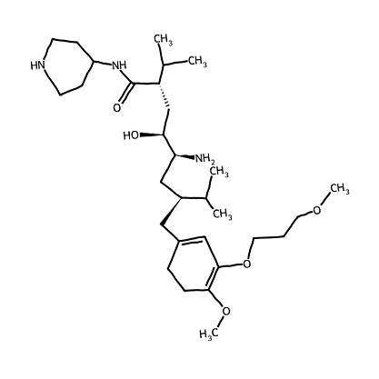 COCCCOC1=C(OC)CCC(C[C@@H](C[C@H](N)[C@@H](O)C[C@H](C(=O)NC2CCNCC2)C(C)C)C(C)C)=C1